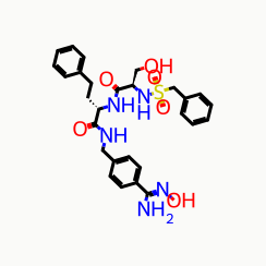 N/C(=N\O)c1ccc(CNC(=O)[C@H](CCc2ccccc2)NC(=O)[C@@H](CO)NS(=O)(=O)Cc2ccccc2)cc1